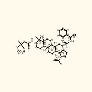 C=C(C)[C@@H]1CC[C@]2(CC(=O)N[C@H](CC)c3ccccc3)CC[C@]3(C)[C@H](CC[C@@H]4[C@@]5(C)CC[C@H](OC(=O)CC(C)(C)CC(=O)O)C(C)(C)[C@@H]5CC[C@]43C)[C@@H]12